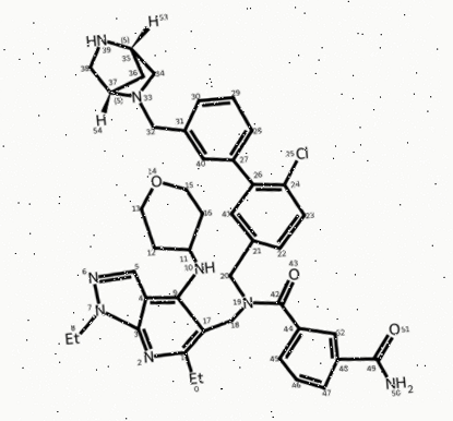 CCc1nc2c(cnn2CC)c(NC2CCOCC2)c1CN(Cc1ccc(Cl)c(-c2cccc(CN3C[C@@H]4C[C@H]3CN4)c2)c1)C(=O)c1cccc(C(N)=O)c1